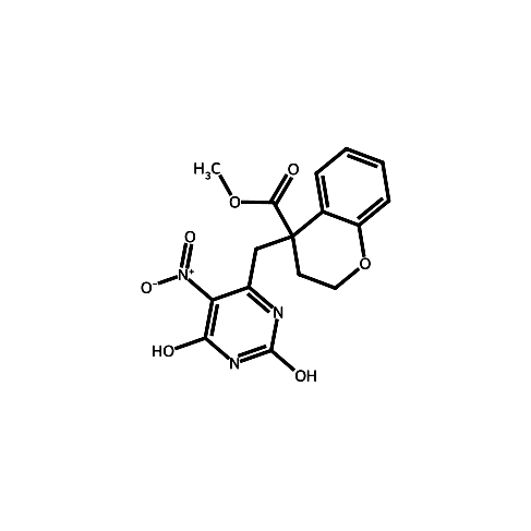 COC(=O)C1(Cc2nc(O)nc(O)c2[N+](=O)[O-])CCOc2ccccc21